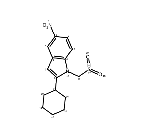 O=[N+]([O-])c1ccc2c(c1)cc(C1CCCCC1)n2C[SH](=O)=O